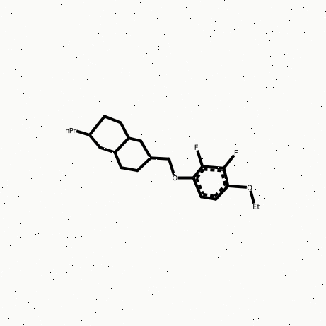 CCCC1CCC2CC(COc3ccc(OCC)c(F)c3F)CCC2C1